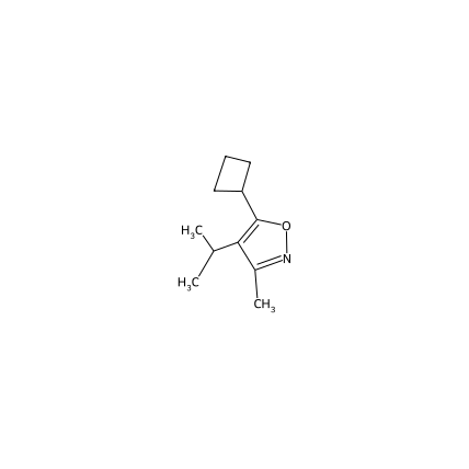 Cc1noc(C2CCC2)c1C(C)C